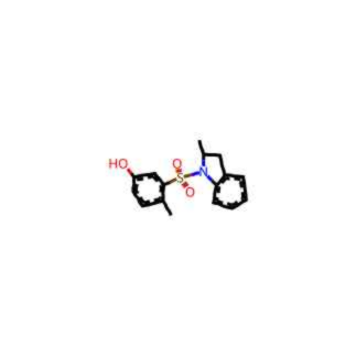 Cc1ccc(O)cc1S(=O)(=O)N1c2ccccc2CC1C